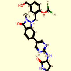 Cn1c(=O)c2ccc(-c3cnc(NC4CCNC4=O)nc3)cc2n1Cc1cc(CO)ccc1OC(F)F